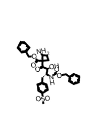 CS(=O)(=O)c1ccc(C[C@@H](NC(=O)OCc2ccccc2)[C@H](O)C(=O)C2(C(=O)OCc3ccccc3)CCC2N)cc1